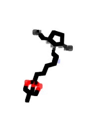 CC12COC(CCC/C=C\C[C@@H]3[C@@H](CN=O)CC[C@@H]3N=O)(OC1)OC2